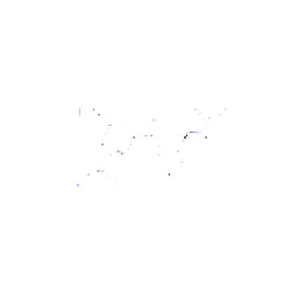 Cc1csc([C@H]2CCCN2C(=O)c2cc(N)nc(C(=O)NN)c2)n1